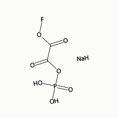 O=C(OF)C(=O)OP(=O)(O)O.[NaH]